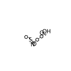 Cc1noc(-c2ccc(-c3ccc(C4(C(=O)O)CC4)cc3)cc2)c1CSCc1ccccc1